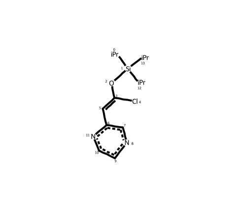 CC(C)[Si](OC(Cl)=Cc1cnccn1)(C(C)C)C(C)C